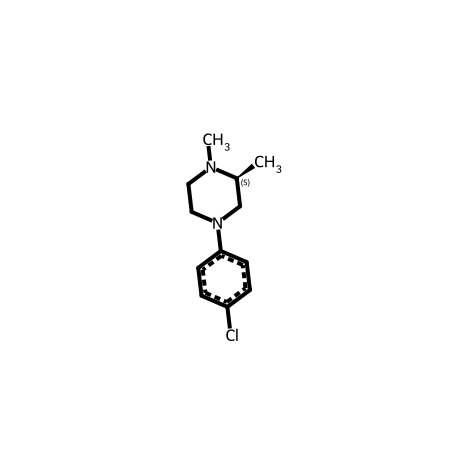 C[C@H]1CN(c2ccc(Cl)cc2)CCN1C